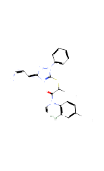 C=CN(C(=O)C(C)SC1=N/C(=C/C=C\N)NN1c1ccccc1)c1ccc(C)cc1Cl